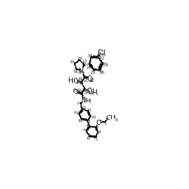 CCOc1ccccc1-c1ccc(CNC(=O)[C@H](O)[C@@H](O)C(=O)N2CCC[C@@H]2c2cccc(Cl)c2)cc1